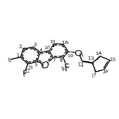 Cc1ccc2c(oc3c(F)c(OCC4CC=CC4)ccc32)c1F